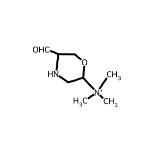 C[N+](C)(C)C1CNC(C=O)CO1